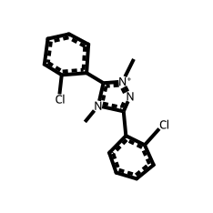 Cn1c(-c2ccccc2Cl)n[n+](C)c1-c1ccccc1Cl